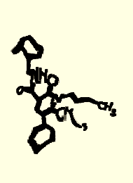 CCCCn1c(C)c(-c2ccccc2)cc(C(=O)NCc2ccccc2)c1=O